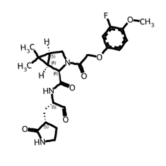 COc1ccc(OCC(=O)N2C[C@H]3[C@@H]([C@@H]2C(=O)N[C@H](C=O)C[C@@H]2CCNC2=O)C3(C)C)cc1F